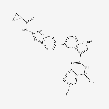 C[C@H](NC(=O)c1c[nH]c2ccc(-c3ccn4nc(NC(=O)C5CC5)nc4c3)cc12)c1cccc(F)c1